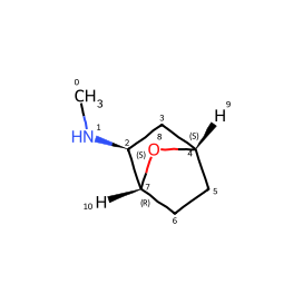 CN[C@H]1C[C@@H]2CC[C@H]1O2